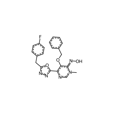 Cn1cnc(-c2nnc(Cc3ccc(F)cc3)o2)c(OCc2ccccc2)c1=NO